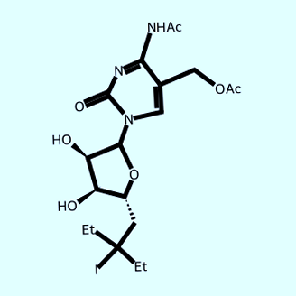 CCC(I)(CC)C[C@H]1OC(n2cc(COC(C)=O)c(NC(C)=O)nc2=O)[C@H](O)[C@@H]1O